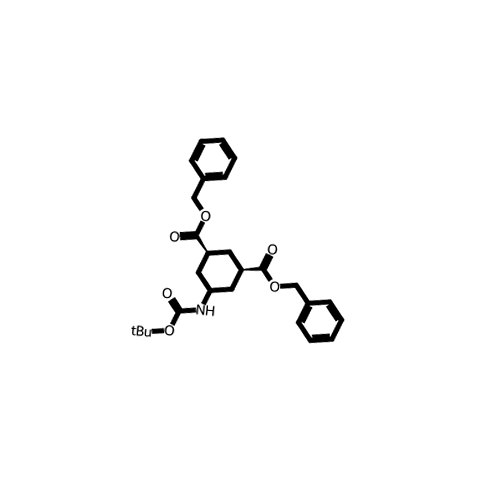 CC(C)(C)OC(=O)NC1C[C@@H](C(=O)OCc2ccccc2)C[C@@H](C(=O)OCc2ccccc2)C1